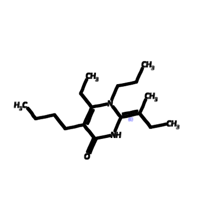 CCCCC1=C(CC)N(CCC)/C(=C(\C)CC)NC1=O